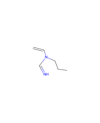 C=CN(C=N)CCC